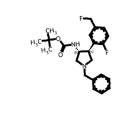 CC(C)(C)OC(=O)N[C@H]1CN(Cc2ccccc2)C[C@@H]1c1cc(CF)ccc1F